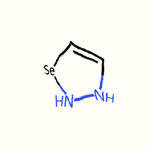 C1=C[Se]NN1